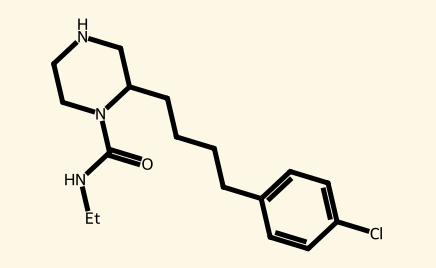 CCNC(=O)N1CCNCC1CCCCc1ccc(Cl)cc1